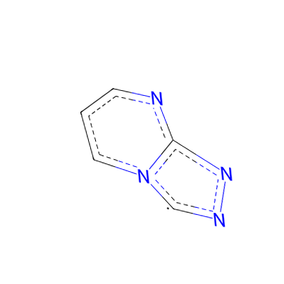 [c]1nnc2ncccn12